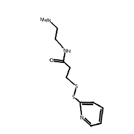 CNCCNC(=O)CCSSc1ccccn1